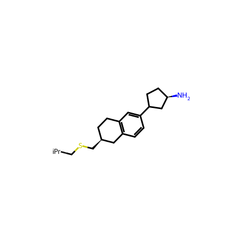 CC(C)CSC[C@H]1CCc2cc(C3CC[C@@H](N)C3)ccc2C1